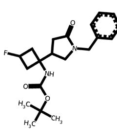 CC(C)(C)OC(=O)NC1(C2CC(=O)N(Cc3ccccc3)C2)CC(F)C1